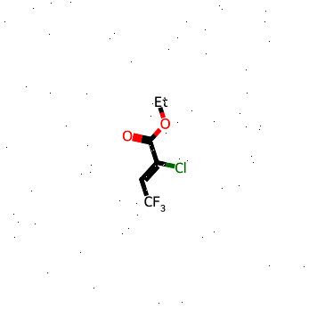 CCOC(=O)C(Cl)=CC(F)(F)F